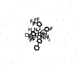 CC(N)(c1ccc(-c2ccccc2)cc1)C(N)C(c1ccc(Cl)c(C(F)(F)F)c1)(C(N)Cc1ccc(F)cc1)C(N)Cc1ccc(F)c(C(F)(F)F)c1